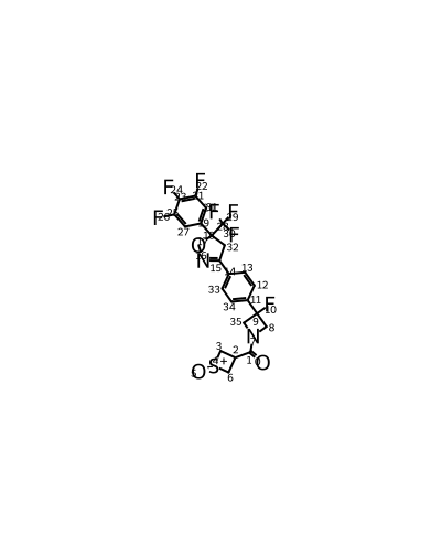 O=C(C1C[S+]([O-])C1)N1CC(F)(c2ccc(C3=NOC(c4cc(F)c(F)c(F)c4)(C(F)(F)F)C3)cc2)C1